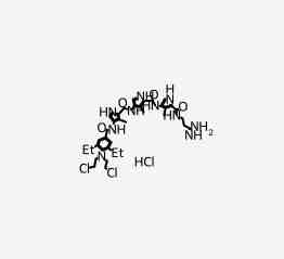 CCc1cc(C(=O)Nc2c[nH]c(C(=O)Nc3c[nH]c(C(=O)Nc4c[nH]c(C(=O)NCCC(=N)N)c4C)c3C)c2C)cc(CC)c1N(CCCl)CCCl.Cl